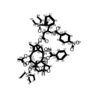 CC[Si](CC)(CC)O[C@H]1C[C@H]2OC[C@@]2(OC(C)=O)[C@H]2[C@H](OC(=O)c3ccccc3)[C@]3(O)C[C@H](OC(=O)[C@H](O[Si](CC)(CC)CC)C(NC(=O)c4ccc([N+](=O)[O-])cc4)c4ccccc4)C(C)=C([C@@H](OC(C)=O)C(=O)[C@]12C)C3(C)C